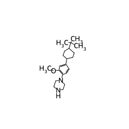 COc1cc(C2CCC(C(C)(C)C)CC2)ccc1N1CCNCC1